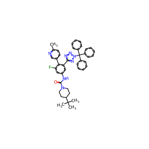 Cc1ccc(-c2c(F)cc(NC(=O)N3CCC(C(C)(C)C)CC3)cc2-c2nnn(C(c3ccccc3)(c3ccccc3)c3ccccc3)n2)cn1